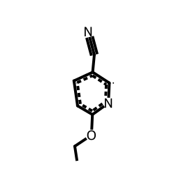 CCOc1ccc(C#N)[c]n1